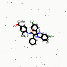 COC(=O)c1ccc(NC(=O)C(C2CCCCC2)C2(c3ccc(Cl)cc3)Nc3cc(F)c(F)cc3N2)c(C)c1